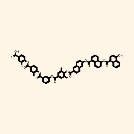 Cc1cc(C(=O)Oc2ccc(C(=O)O)cc2Cl)ccc1OC(=O)c1cccc(OC(=O)c2cc(C)c(OC(=O)c3ccc4cc(OC(=O)c5cccc6c(OC(=O)c7ccc(O)c8ccccc78)cccc56)ccc4c3)c(C)c2)c1